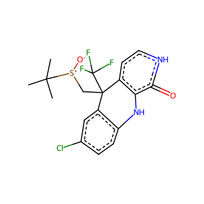 CC(C)(C)[S+]([O-])CC1(C(F)(F)F)c2cc(Cl)ccc2Nc2c1cc[nH]c2=O